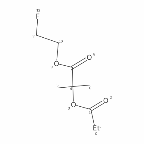 C[CH]C(=O)OC(C)(C)C(=O)OCCF